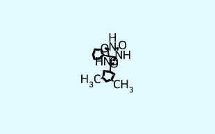 Cc1cc(C)cc(C(=O)NC2(c3ccccc3)C(=O)NC(=O)NC2=O)c1